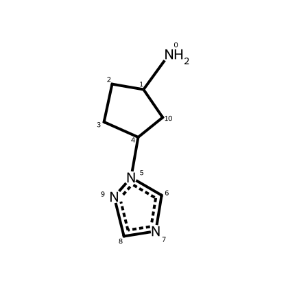 NC1CCC(n2cncn2)C1